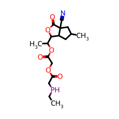 CCPCC(=O)OCC(=O)OC(C)C1OC(=O)C2(C#N)CC(C)CC12